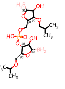 B[C@@H]1O[C@H](COP(=O)(O)O[C@@H]2C(O)[C@H](B)O[C@@H]2COC(C)C)[C@H](OCC(C)C)C1O